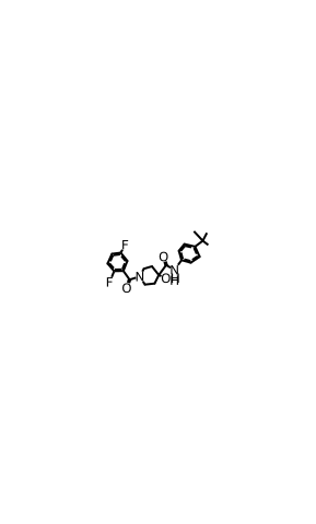 CC(C)(C)c1ccc(NC(=O)C2(O)CCN(C(=O)c3cc(F)ccc3F)CC2)cc1